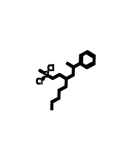 CCCCCC(CC[Si](C)(Cl)Cl)CC(C)c1ccccc1